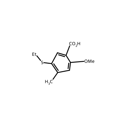 CCSc1cc(C(=O)O)c(OC)cc1C